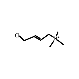 C[N+](C)(C)C/C=C/CCl